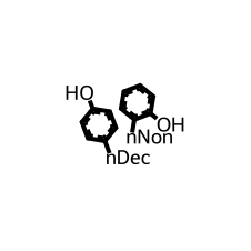 CCCCCCCCCCc1ccc(O)cc1.CCCCCCCCCc1ccccc1O